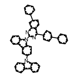 c1ccc(-c2ccc(-c3nc(-n4c5ccccc5c5cc(-n6c7ccccc7c7ccccc76)ccc54)nc4cc(-c5ccccc5)ccc34)cc2)cc1